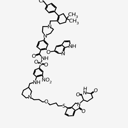 CC1(C)CCC(CN2CCN(c3ccc(C(=O)NS(=O)(=O)c4ccc(NCC5CCCN(CCCOCCCSc6cccc7c6CN(C6CCC(=O)NC6=O)C7=O)C5)c([N+](=O)[O-])c4)c(Oc4cnc5[nH]ccc5c4)c3)CC2)=C(c2ccc(Cl)cc2)C1